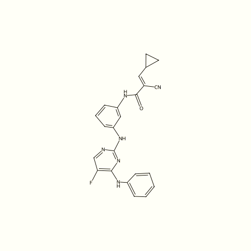 N#CC(=CC1CC1)C(=O)Nc1cccc(Nc2ncc(F)c(Nc3ccccc3)n2)c1